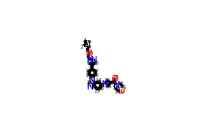 C[Si](C)(C)CCOCn1cc(-c2ccc(-n3cnc4ccc(N5CC(C(=O)N6CCOCC6)C5)cc43)cc2)cn1